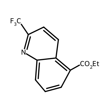 CCOC(=O)c1cccc2nc(C(F)(F)F)ccc12